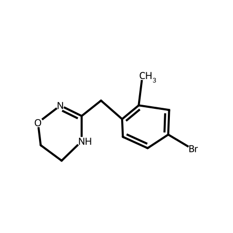 Cc1cc(Br)ccc1CC1=NOCCN1